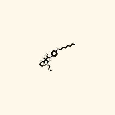 CCCCCCCOc1ccc(NC(=O)C(C)(COCOC)C2OCCO2)cc1